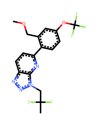 COCc1cc(OC(F)(F)F)ccc1-c1ccc2nnn(CC(C)(F)F)c2n1